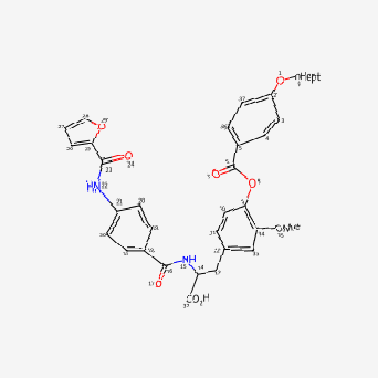 CCCCCCCOc1ccc(C(=O)Oc2ccc(CC(NC(=O)c3ccc(NC(=O)c4ccco4)cc3)C(=O)O)cc2OC)cc1